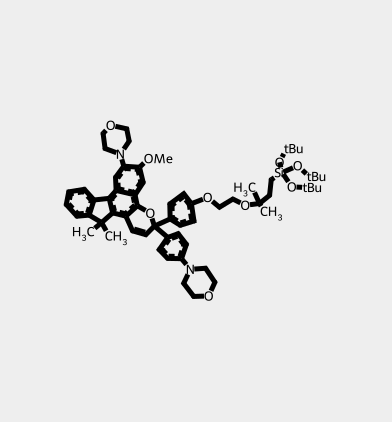 COc1cc2c3c(c4c(c2cc1N1CCOCC1)-c1ccccc1C4(C)C)C=CC(c1ccc(OCCOC(C)(C)CC[Si](OC(C)(C)C)(OC(C)(C)C)OC(C)(C)C)cc1)(c1ccc(N2CCOCC2)cc1)O3